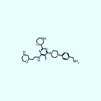 NCc1ccc(N2CCN(c3nc(C4CNCCO4)nc(NCCC4CNCCO4)c3F)CC2)cc1